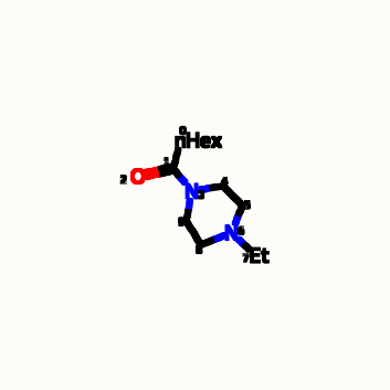 CCCCCCC(=O)N1CCN(CC)CC1